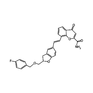 NC(=O)c1cc(=O)c2cccc(C=Cc3ccc4c(c3)CC(COCc3ccc(F)cc3)O4)c2o1